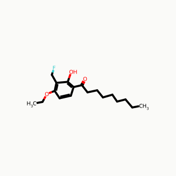 CCCCCCCCC(=O)c1ccc(OCC)c(CF)c1O